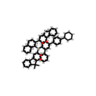 CC1(C)c2ccccc2-c2cc(N(c3ccc(-c4ccc(C5CCCCC5)cc4)cc3-c3ccccc3)c3c(-c4ccc5c(c4)sc4ccccc45)ccc4ccccc34)ccc21